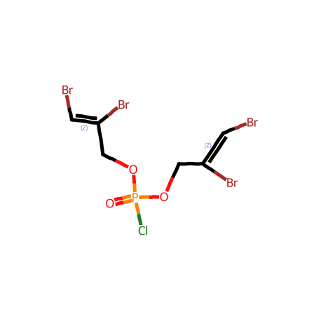 O=P(Cl)(OC/C(Br)=C/Br)OC/C(Br)=C/Br